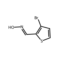 O/N=C/c1sccc1Br